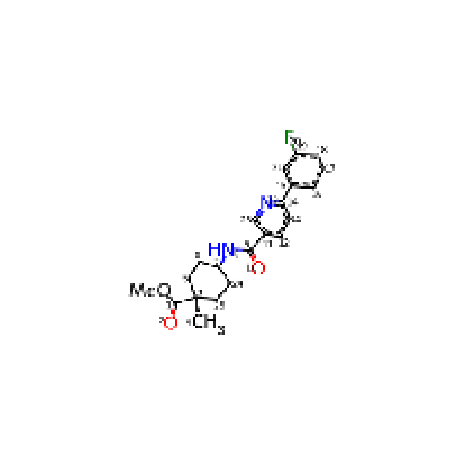 COC(=O)[C@]1(C)CC[C@@H](NC(=O)c2ccc(-c3cccc(F)c3)nc2)CC1